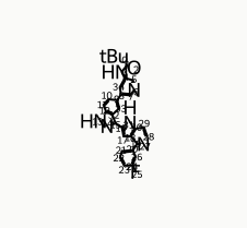 CC(C)(C)C(=O)Nc1cncc(-c2ccc3[nH]nc(-c4cc5c(-c6cccc(F)c6)nccc5[nH]4)c3c2)c1